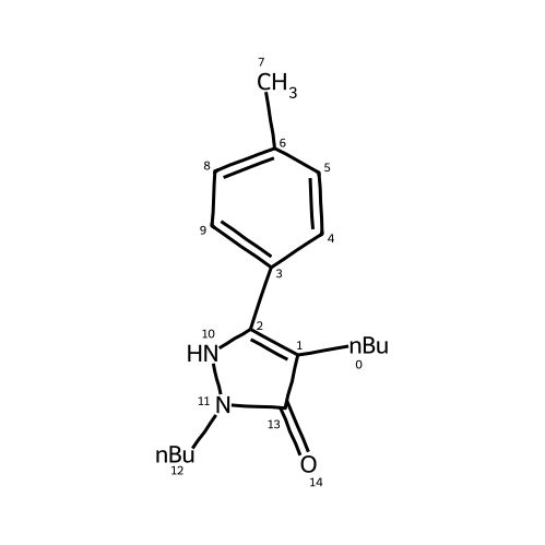 CCCCc1c(-c2ccc(C)cc2)[nH]n(CCCC)c1=O